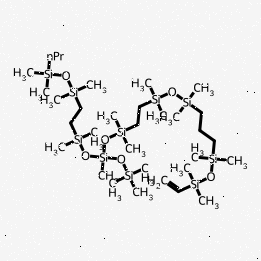 C=C[Si](C)(C)O[Si](C)(C)CCC[Si](C)(C)O[Si](C)(C)CC[Si](C)(C)O[Si](C)(O[Si](C)(C)C)O[Si](C)(C)CC[Si](C)(C)O[Si](C)(C)CCC